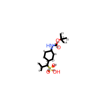 CC(C)C(C1CCC(NC(=O)OC(C)(C)C)CC1)S(=O)(=O)O